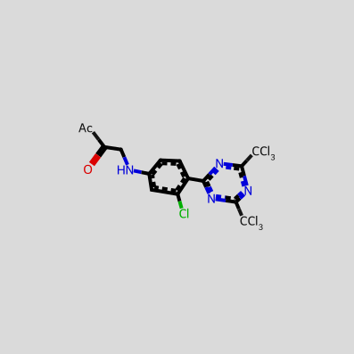 CC(=O)C(=O)CNc1ccc(-c2nc(C(Cl)(Cl)Cl)nc(C(Cl)(Cl)Cl)n2)c(Cl)c1